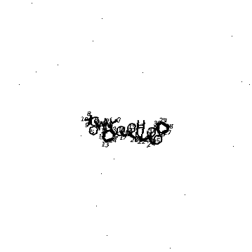 Cc1nn(C(=O)OC(C)(C)C)c2cccc(OC[C@@H](O)CNCC3COc4ccccc4O3)c12